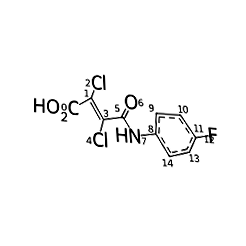 O=C(O)C(Cl)=C(Cl)C(=O)Nc1ccc(F)cc1